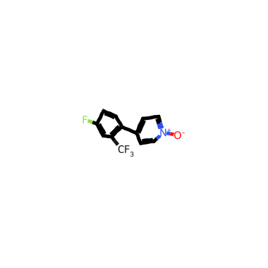 [O-][n+]1ccc(-c2ccc(F)cc2C(F)(F)F)cc1